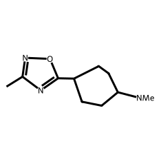 CNC1CCC(c2nc(C)no2)CC1